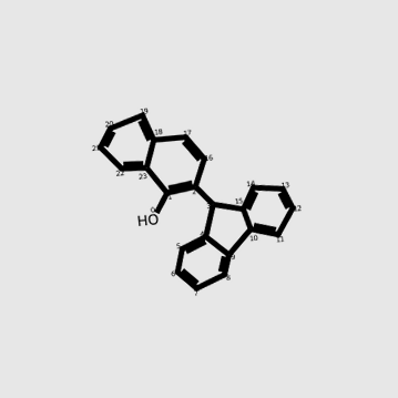 Oc1c(C2c3ccccc3-c3ccccc32)ccc2ccccc12